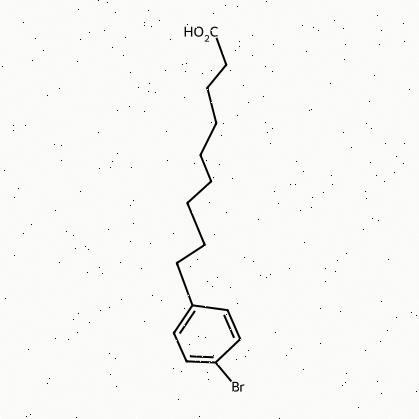 O=C(O)CCCCCCCCc1ccc(Br)cc1